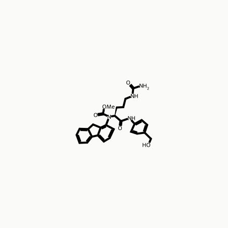 COC(=O)N(c1cccc2c1Cc1ccccc1-2)[C@@H](CCCNC(N)=O)C(=O)Nc1ccc(CO)cc1